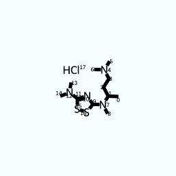 CC(CCN(C)C)N(C)C1N=C(N(C)C)SS1.Cl